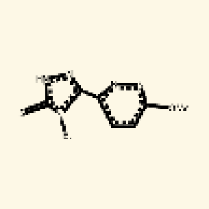 CCn1c(-c2ccc(OC)nn2)n[nH]c1=S